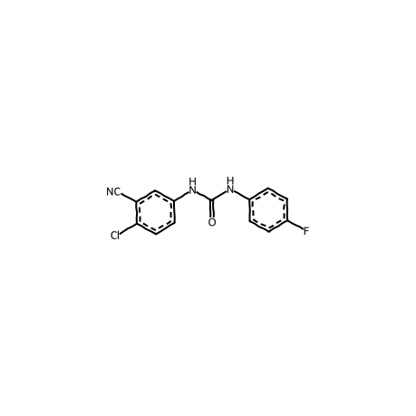 N#Cc1cc(NC(=O)Nc2ccc(F)cc2)ccc1Cl